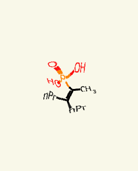 CCCC(CCC)=C(C)P(=O)(O)O